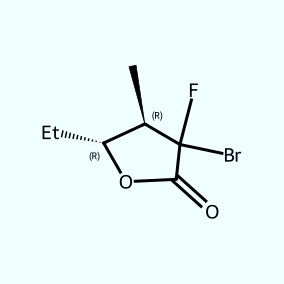 CC[C@H]1OC(=O)C(F)(Br)[C@@H]1C